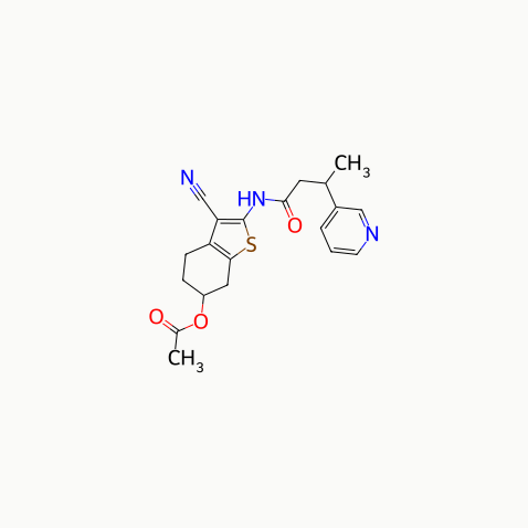 CC(=O)OC1CCc2c(sc(NC(=O)CC(C)c3cccnc3)c2C#N)C1